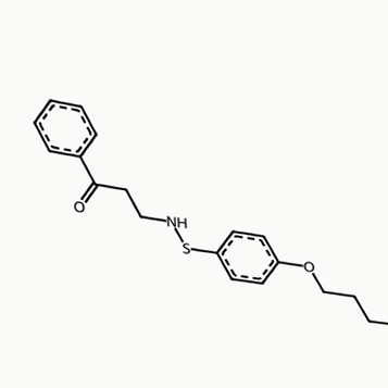 CCCCOc1ccc(SNCCC(=O)c2ccccc2)cc1